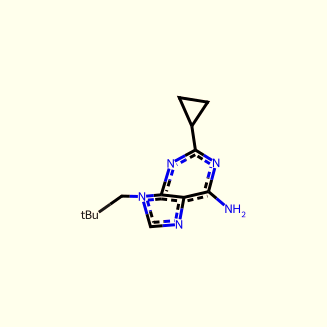 CC(C)(C)Cn1cnc2c(N)nc(C3CC3)nc21